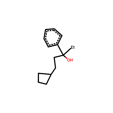 CCC(O)(CCC1CCC1)c1ccccc1